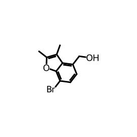 Cc1oc2c(Br)ccc(CO)c2c1C